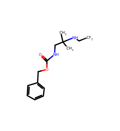 CC(C)(CNC(=O)OCc1ccccc1)NCC(F)(F)F